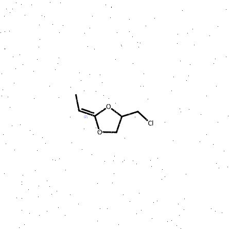 C/C=C1/OCC(CCl)O1